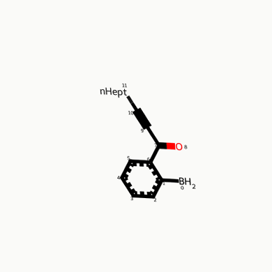 Bc1ccccc1C(=O)C#CCCCCCCC